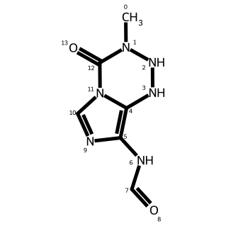 CN1NNc2c(NC=O)ncn2C1=O